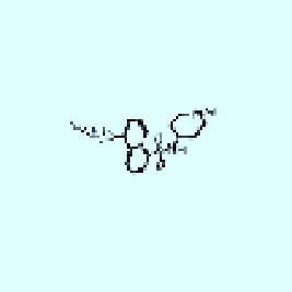 O=C(O)c1cccc2c(S(=O)(=O)NC3CCNCC3)cccc12